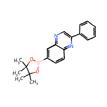 CC1(C)OB(c2ccc3nc(-c4ccccc4)cnc3c2)OC1(C)C